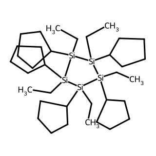 CC[Si]1(C2CCCC2)[Si](CC)(C2CCCC2)[Si](CC)(C2CCCC2)[Si](CC)(C2CCCC2)[Si]1(CC)C1CCCC1